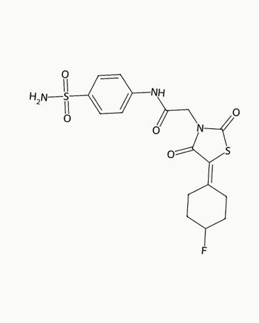 NS(=O)(=O)c1ccc(NC(=O)CN2C(=O)SC(=C3CCC(F)CC3)C2=O)cc1